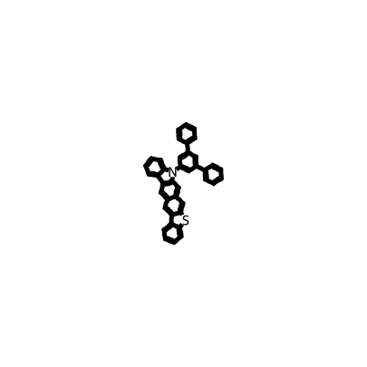 c1ccc(-c2cc(-c3ccccc3)cc(-n3c4ccccc4c4cc5cc6c(cc5cc43)sc3ccccc36)c2)cc1